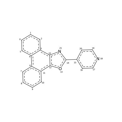 c1ccc2c(c1)c1ccccc1c1oc(-c3ccncc3)nc21